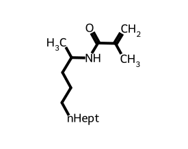 C=C(C)C(=O)NC(C)CCCCCCCCCC